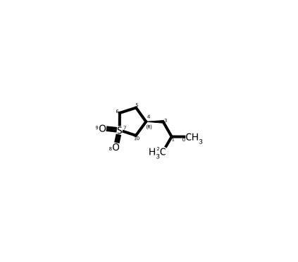 CC(C)C[C@@H]1CCS(=O)(=O)C1